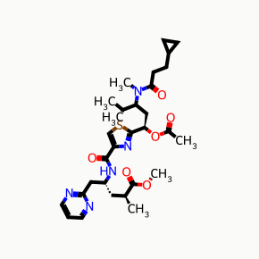 COC(=O)[C@@H](C)C[C@H](Cc1ncccn1)NC(=O)c1csc([C@@H](CC(C(C)C)N(C)C(=O)CCC2CC2)OC(C)=O)n1